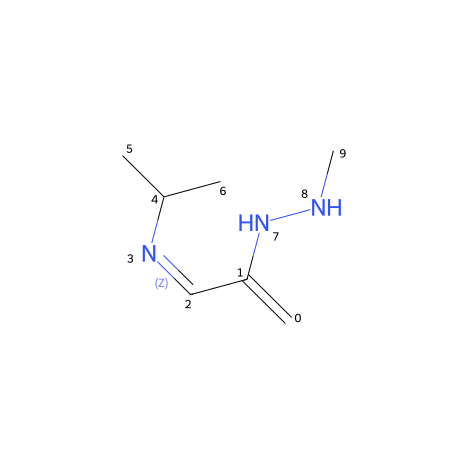 C=C(/C=N\C(C)C)NNC